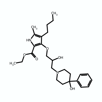 CCCCc1c(C)[nH]c(C(=O)OCC)c1OCC(O)CN1CCC(O)(c2ccccc2)CC1